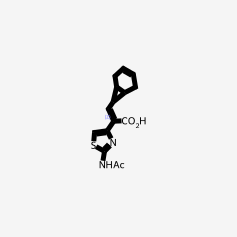 CC(=O)Nc1nc(/C(=C/C2C3CC=CCC23)C(=O)O)cs1